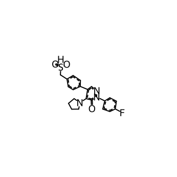 O=c1c(N2CCCC2)c(-c2ccc(C[SH](=O)=O)cc2)cnn1-c1ccc(F)cc1